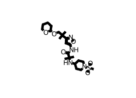 CC(C)(NC1CCN(S(C)(=O)=O)CC1)C(=O)Nc1cc(C(C)(C)COC2CCCCO2)no1